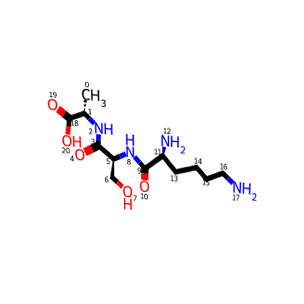 C[C@H](NC(=O)[C@H](CO)NC(=O)[C@@H](N)CCCCN)C(=O)O